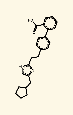 O=C(O)c1ccccc1-c1ccc(CCc2nc(CC3CCCC3)c[nH]2)cc1